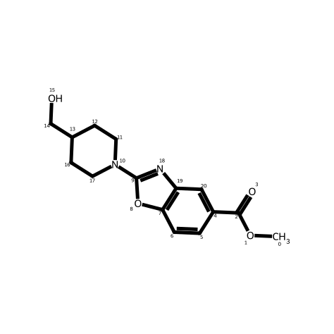 COC(=O)c1ccc2oc(N3CCC(CO)CC3)nc2c1